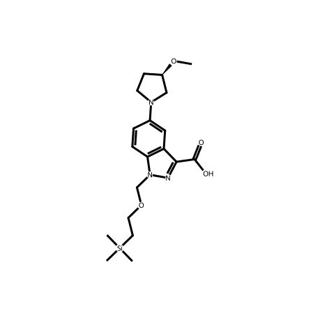 CO[C@@H]1CCN(c2ccc3c(c2)c(C(=O)O)nn3COCC[Si](C)(C)C)C1